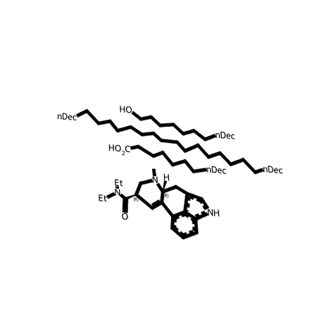 CCCCCCCCCCCCCCCCC(=O)O.CCCCCCCCCCCCCCCCCCCCCCCCCCCCCCCCCCCC.CCCCCCCCCCCCCCCCCO.CCN(CC)C(=O)[C@@H]1C=C2c3cccc4[nH]cc(c34)C[C@H]2N(C)C1